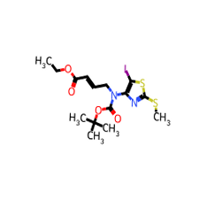 CCOC(=O)/C=C/CN(C(=O)OC(C)(C)C)c1nc(SC)sc1I